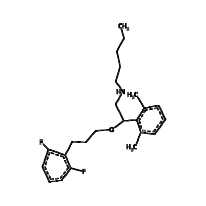 CCCCCNCC(OCCCc1c(F)cccc1F)c1c(C)cccc1C